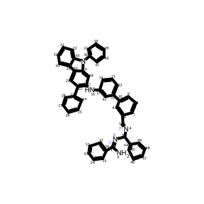 N/C(=N\C(/N=C/c1cccc(-c2cccc(Nc3cc4c(cc3-c3ccccc3)c3ccccc3n4-c3ccccc3)c2)c1)c1ccccc1)c1ccccc1